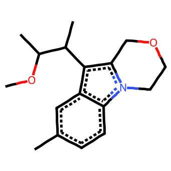 COC(C)C(C)c1c2n(c3ccc(C)cc13)CCOC2